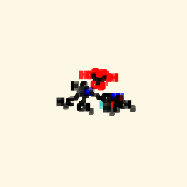 CCCCCC[N+](CC)(CCCCC)CCCCc1ccc(NS(=O)(=O)N(C)C)cc1F.O=C(O)CC(O)(CC(=O)O)C(=O)[O-]